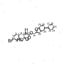 O=C(NC(Cc1ccc(Br)cc1)C(=O)O)OCc1cc2cc(-c3ccccc3)ccc2o1